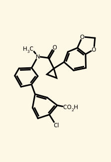 CN(C(=O)C1(c2ccc3c(c2)OCO3)CC1)c1cccc(-c2ccc(Cl)c(C(=O)O)c2)c1